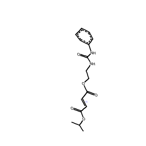 CC(C)OC(=O)/C=C/C(=O)OCCNC(=O)Nc1ccccc1